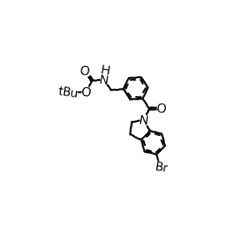 CC(C)(C)OC(=O)NCc1cccc(C(=O)N2CCc3cc(Br)ccc32)c1